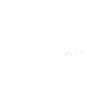 C#CCOCCOCCOCCNOC